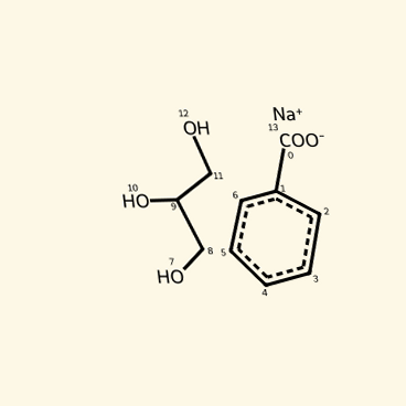 O=C([O-])c1ccccc1.OCC(O)CO.[Na+]